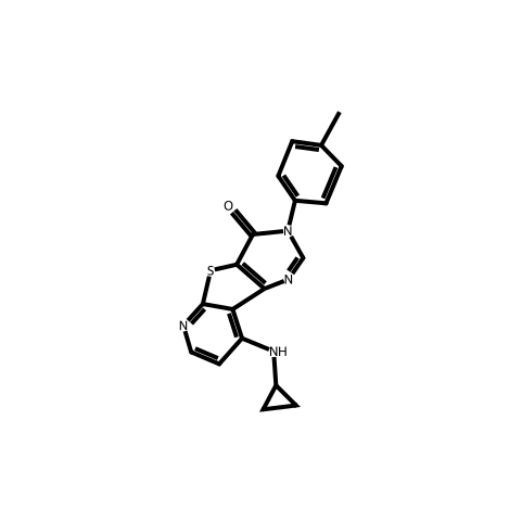 Cc1ccc(-n2cnc3c(sc4nccc(NC5CC5)c43)c2=O)cc1